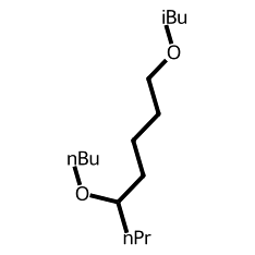 [CH2]CCC(CCCCOC(C)CC)OCCCC